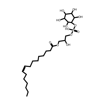 CCCCCC/C=C\CCCCCCCC(=O)OCC(O)COP(=O)(O)OC1C(O)C(O)C(O)C(O)C1O